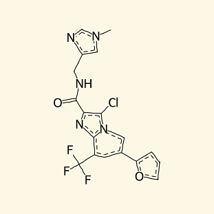 Cn1cnc(CNC(=O)c2nc3c(C(F)(F)F)cc(-c4ccco4)cn3c2Cl)c1